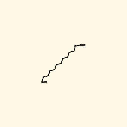 CCCCCCCCCCCCCCCCCCCCOCCCCCCCCCC